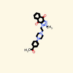 CC(=O)c1ccc(N2CCN(CCn3c4c(n[n+]3C)C(=O)c3ccccc3C4=O)CC2)cc1